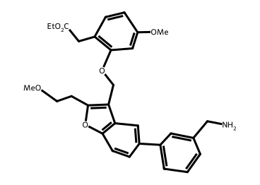 CCOC(=O)Cc1ccc(OC)cc1OCc1c(CCOC)oc2ccc(-c3cccc(CN)c3)cc12